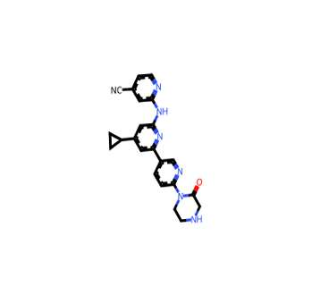 N#Cc1ccnc(Nc2cc(C3CC3)cc(-c3ccc(N4CCNCC4=O)nc3)n2)c1